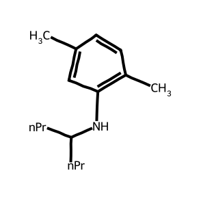 CCCC(CCC)Nc1cc(C)ccc1C